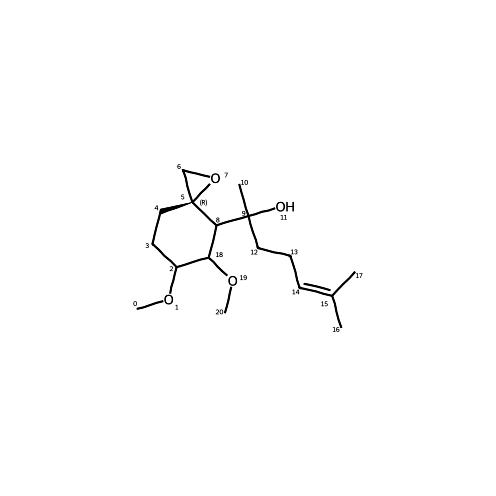 COC1CC[C@]2(CO2)C(C(C)(O)CCC=C(C)C)C1OC